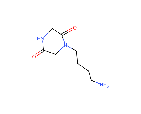 NCCCCN1CC(=O)NCC1=O